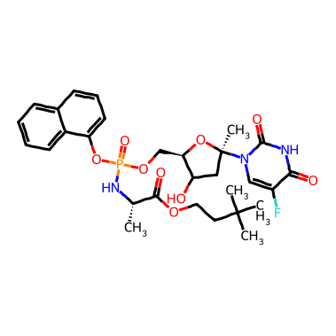 C[C@H](NP(=O)(OC[C@H]1O[C@@](C)(n2cc(F)c(=O)[nH]c2=O)CC1O)Oc1cccc2ccccc12)C(=O)OCCC(C)(C)C